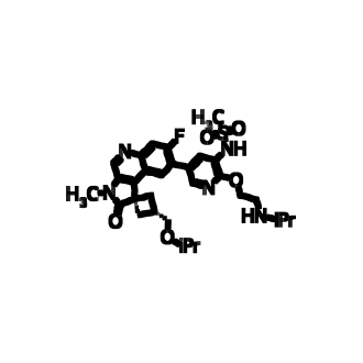 CC(C)NCCOc1ncc(-c2cc3c(cc2F)ncc2c3[C@]3(C[C@@H](COC(C)C)C3)C(=O)N2C)cc1NS(C)(=O)=O